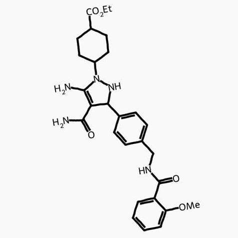 CCOC(=O)C1CCC(N2NC(c3ccc(CNC(=O)c4ccccc4OC)cc3)C(C(N)=O)=C2N)CC1